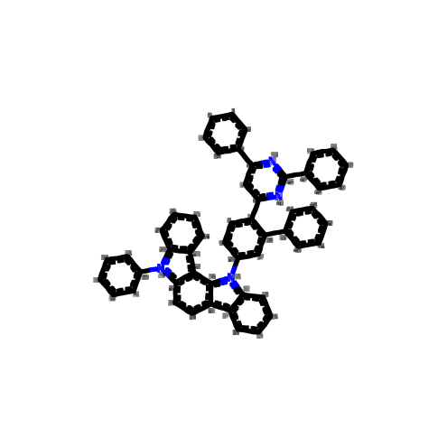 c1ccc(-c2cc(-c3ccc(-n4c5ccccc5c5ccc6c(c7ccccc7n6-c6ccccc6)c54)cc3-c3ccccc3)nc(-c3ccccc3)n2)cc1